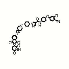 N#Cc1ccc(O[C@H]2CC[C@H](NC(=O)c3cnn([C@H]4CC[C@H](CN5CCC6(CC5)CN(c5ccc7c(c5)C(=O)N(C5CCC(=O)NC5=O)C7=O)C6)CC4)c3)CC2)cc1Cl